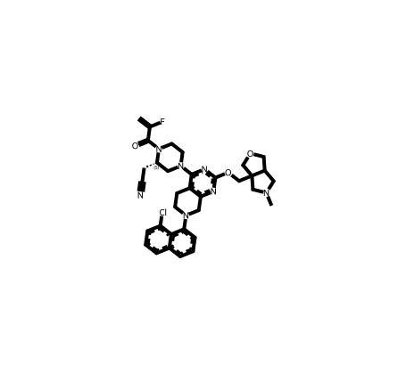 C=C(F)C(=O)N1CCN(c2nc(OCC34COCC3CN(C)C4)nc3c2CCN(c2cccc4cccc(Cl)c24)C3)C[C@@H]1CC#N